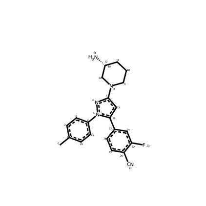 Cc1ccc(-n2nc(N3CCC[C@@H](N)C3)cc2-c2ccc(C#N)c(F)c2)cc1